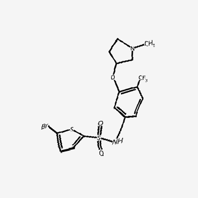 CN1CCC(Oc2cc(NS(=O)(=O)c3ccc(Br)s3)ccc2C(F)(F)F)C1